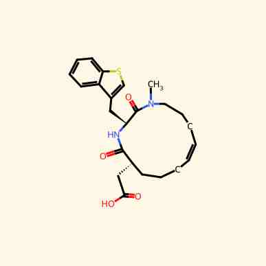 CN1CCCC=CCCC[C@H](CC(=O)O)C(=O)N[C@@H](Cc2csc3ccccc23)C1=O